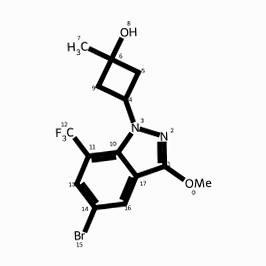 COc1nn(C2CC(C)(O)C2)c2c(C(F)(F)F)cc(Br)cc12